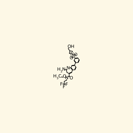 CCON(CCC(F)(F)F)C(=O)C1=Cc2ccc(-c3cccc(S(=O)(=O)N4CC(CO)C4)c3)cc2N=C(N)C1